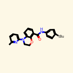 Cc1cccc(N2CCOc3c(C(=O)Nc4ccc(C(C)(C)C)cc4)cccc32)n1